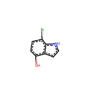 Oc1ccc(Br)c2[nH]ccc12